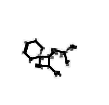 CC1N[C@]2(CCC=CO2)[C@H]1N[S@@+]([O-])C(C)(C)C